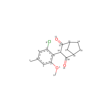 COc1cc(C)cc(Cl)c1C1C(=O)C2CCC(C2)C1=O